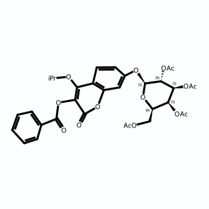 CC(=O)OC[C@H]1O[C@@H](Oc2ccc3c(OC(C)C)c(OC(=O)c4ccccc4)c(=O)oc3c2)[C@H](OC(C)=O)[C@@H](OC(C)=O)[C@H]1OC(C)=O